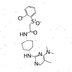 Cc1cnc(N[C@H]2CC[C@@H](NC(=O)C[S+]([O-])c3ccccc3Cl)CC2)nc1N(C)C